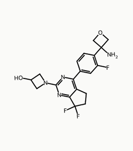 NC1(c2ccc(-c3nc(N4CC(O)C4)nc4c3CCC4(F)F)cc2F)COC1